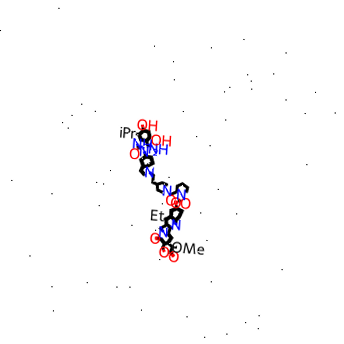 CCc1c2c(nc3ccc(OC(=O)N4CCCCC4C(=O)N4CCC(CCn5ccc6cc(N(C(=N)c7cc(C(C)C)c(O)cc7O)C(N)=O)ccc65)CC4)cc13)-c1cc3c(c(=O)n1C2)COC(=O)C3OC